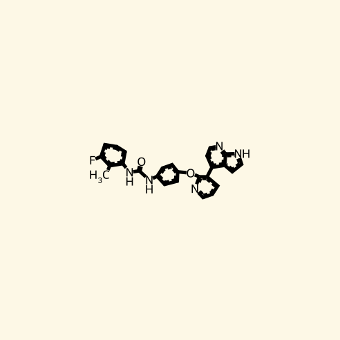 Cc1c(F)cccc1NC(=O)Nc1ccc(Oc2ncccc2-c2ccnc3[nH]ccc23)cc1